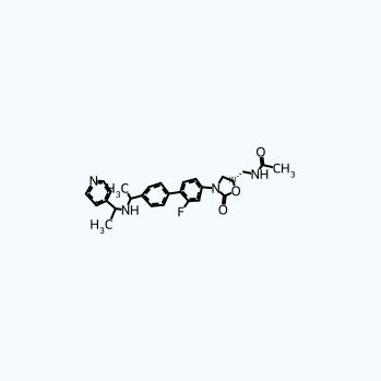 CC(=O)NC[C@H]1CN(c2ccc(-c3ccc(C(C)NC(C)c4ccncc4)cc3)c(F)c2)C(=O)O1